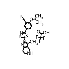 Cc1c2c(nn1-c1nnc(-c3ccc(OC(C)C)c(C#N)c3)s1)CCNC2.O=C(O)C(F)(F)F